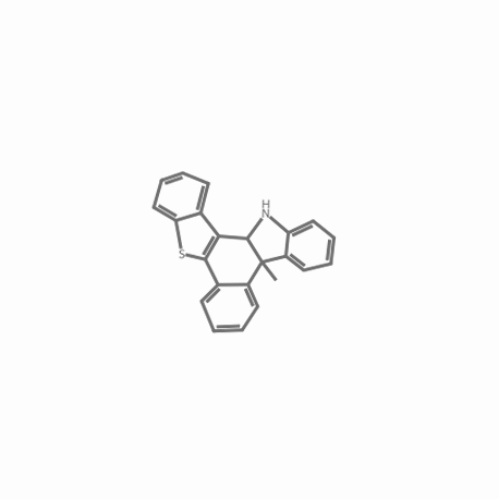 CC12c3ccccc3NC1c1c(sc3ccccc13)-c1ccccc12